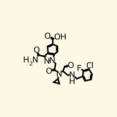 NC(=O)c1nn(CC(=O)N(C(C=O)CNCc2cccc(Cl)c2F)C2CC2)c2ccc(C(=O)O)cc12